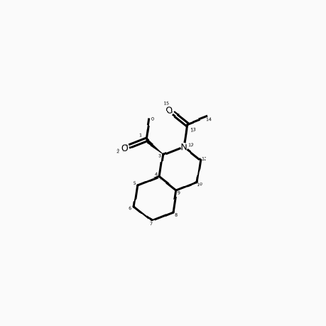 CC(=O)[C@@H]1C2CCCCC2CCN1C(C)=O